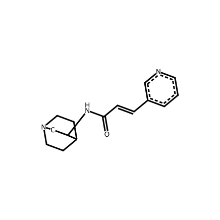 O=C(C=Cc1cccnc1)NC1CN2CCC1CC2